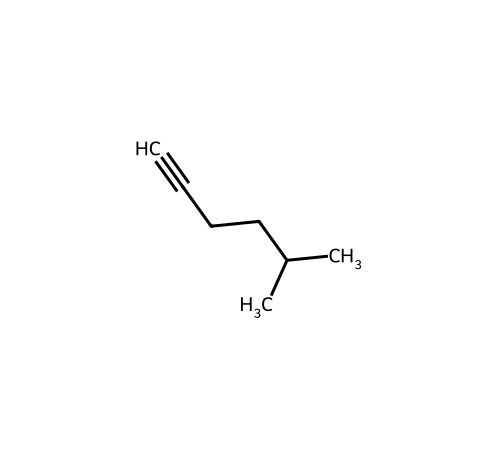 C#CCCC(C)C